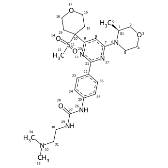 C[C@H]1COCCN1c1cc(C2(S(C)(=O)=O)CCOCC2)nc(-c2ccc(NC(=O)NCCN(C)C)cc2)n1